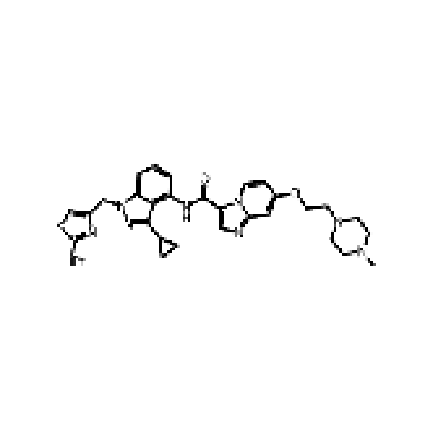 CC(C)c1nc(Cn2nc(C3CC3)c3c(NC(=O)c4cnc5cc(OCCN6CCN(C)CC6)ccn45)cccc32)cs1